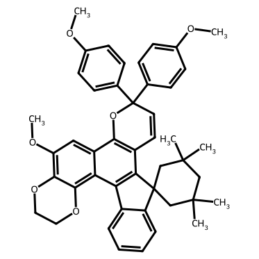 COc1ccc(C2(c3ccc(OC)cc3)C=Cc3c4c(c5c6c(c(OC)cc5c3O2)OCCO6)-c2ccccc2C42CC(C)(C)CC(C)(C)C2)cc1